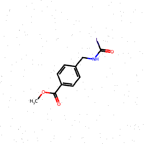 COC(=O)c1ccc(CNC(=O)I)cc1